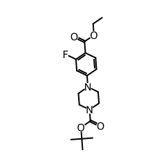 CCOC(=O)c1ccc(N2CCN(C(=O)OC(C)(C)C)CC2)cc1F